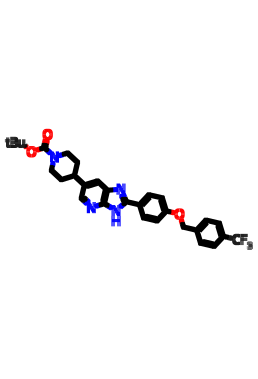 CC(C)(C)OC(=O)N1CCC(c2cnc3[nH]c(-c4ccc(OCc5ccc(C(F)(F)F)cc5)cc4)nc3c2)CC1